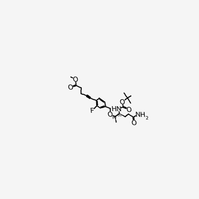 COC(=O)CCC#Cc1ccc(CO[C@H](C)[C@H](CCC(N)=O)NC(=O)OC(C)(C)C)cc1F